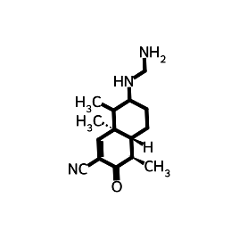 CC1C(NCN)CC[C@@H]2[C@@H](C)C(=O)C(C#N)=C[C@@]12C